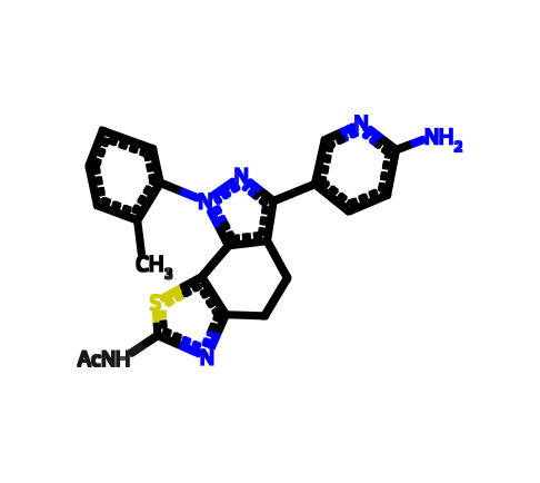 CC(=O)Nc1nc2c(s1)-c1c(c(-c3ccc(N)nc3)nn1-c1ccccc1C)CC2